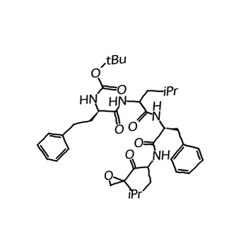 CC(C)CC(NC(=O)[C@@H](CCc1ccccc1)NC(=O)OC(C)(C)C)C(=O)N[C@@H](Cc1ccccc1)C(=O)NC(CC(C)C)C(=O)C1(C)CO1